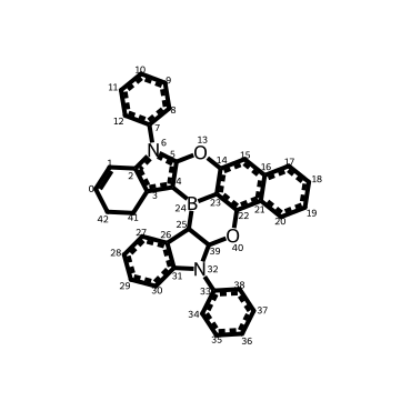 C1=Cc2c(c3c(n2-c2ccccc2)Oc2cc4ccccc4c4c2B3C2c3ccccc3N(c3ccccc3)C2O4)CC1